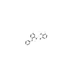 O=C(OC(=O)c1cccc(F)c1C(=O)O)c1cc(F)ccc1C(=O)c1ccccc1